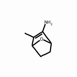 CC1=C(N)C2CCC1O2